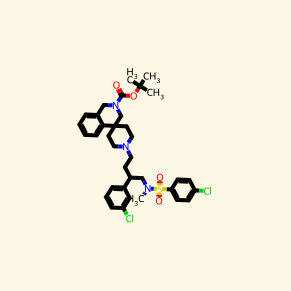 CN(CC(CCN1CCC2(CC1)CN(C(=O)OC(C)(C)C)Cc1ccccc12)c1cccc(Cl)c1)S(=O)(=O)c1ccc(Cl)cc1